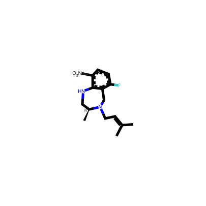 CC(C)=CCN1Cc2c(F)ccc([N+](=O)[O-])c2NC[C@@H]1C